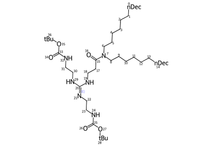 CCCCCCCCCCCCCCCCN(CCCCCCCCCCCCCCCC)C(=O)CCN/C(=N\CCNC(=O)OC(C)(C)C)NCCNC(=O)OC(C)(C)C